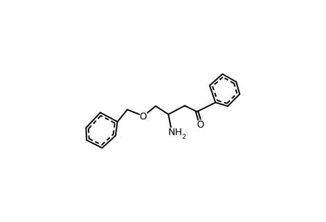 NC(COCc1ccccc1)CC(=O)c1ccccc1